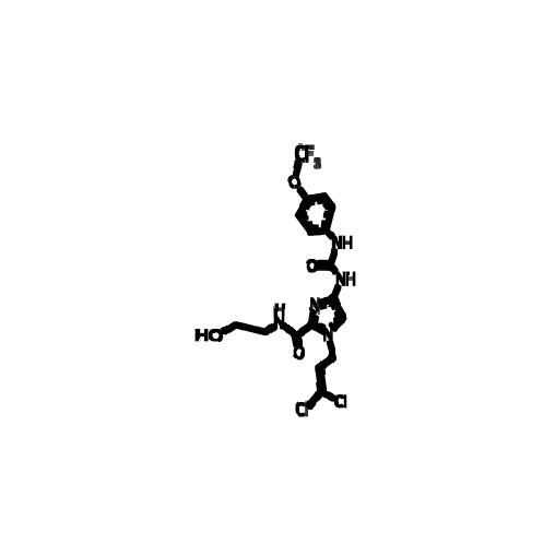 O=C(Nc1ccc(OC(F)(F)F)cc1)Nc1cn(CC=C(Cl)Cl)c(C(=O)NCCO)n1